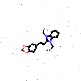 CCn1c(C=Cc2ccc3c(c2)OCO3)[n+](CC)c2ccccc21